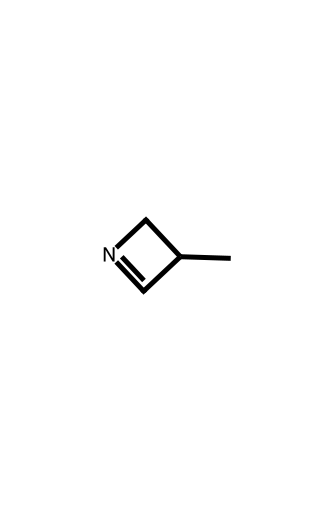 CC1C=NC1